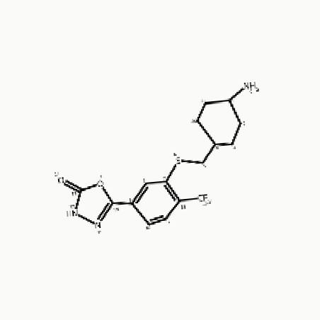 NC1CCC(CSc2cc(-c3n[nH]c(=O)o3)ccc2C(F)(F)F)CC1